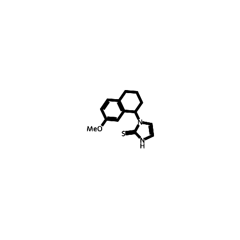 COc1ccc2c(c1)C(n1cc[nH]c1=S)CCC2